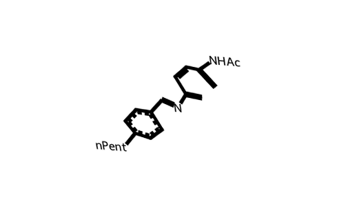 C=C(/C=C\C(=C)NC(C)=O)/N=C/c1ccc(CCCCC)cc1